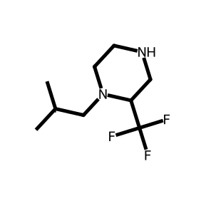 C[C](C)CN1CCNCC1C(F)(F)F